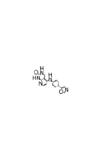 O=C1NCc2c(Nc3ccc(-c4cnco4)cc3)ccnc2N1